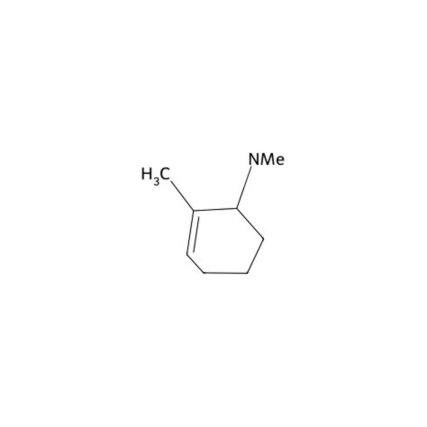 CNC1CCCC=C1C